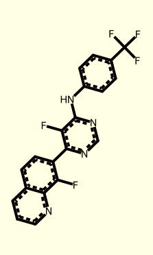 Fc1c(Nc2ccc(C(F)(F)F)cc2)ncnc1-c1ccc2cccnc2c1F